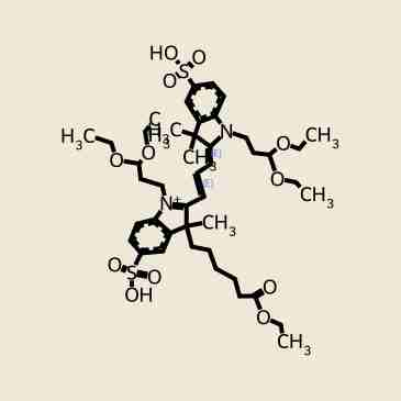 CCOC(=O)CCCCCC1(C)C(/C=C/C=C2/N(CCC(OCC)OCC)c3ccc(S(=O)(=O)O)cc3C2(C)C)=[N+](CCC(OCC)OCC)c2ccc(S(=O)(=O)O)cc21